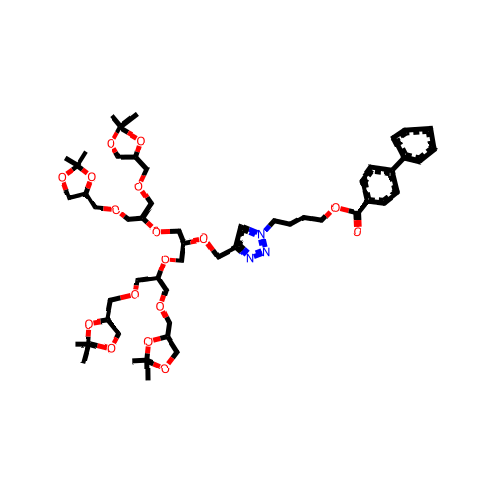 CC1(C)OCC(COCC(COCC2COC(C)(C)O2)OCC(COC(COCC2COC(C)(C)O2)COCC2COC(C)(C)O2)OCc2cn(CCCCOC(=O)c3ccc(-c4ccccc4)cc3)nn2)O1